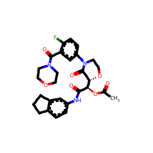 CC(=O)O[C@@H](C(=O)Nc1ccc2c(c1)CCC2)[C@H]1OCCN(c2ccc(F)c(C(=O)N3CCOCC3)c2)C1=O